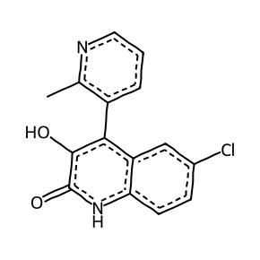 Cc1ncccc1-c1c(O)c(=O)[nH]c2ccc(Cl)cc12